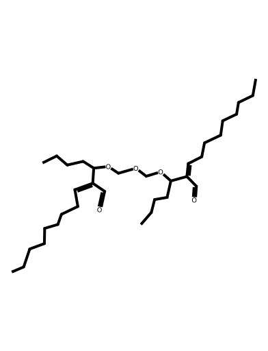 CCCCCCCCC=C(C=O)C(CCCC)OCOCOC(CCCC)C(C=O)=CCCCCCCCC